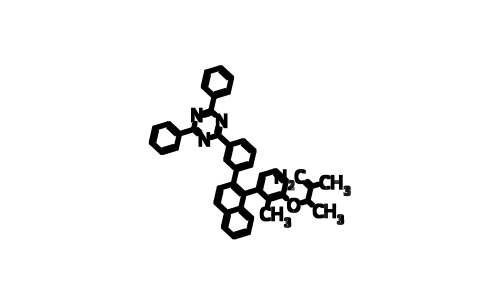 C=C(C)C(C)Oc1cccc(-c2c(-c3cccc(-c4nc(-c5ccccc5)nc(-c5ccccc5)n4)c3)ccc3ccccc23)c1C